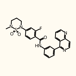 CN1CCCN(c2ccc(C(=O)Nc3cccc(-c4nccc5ncccc45)c3)c(F)c2)S1(=O)=O